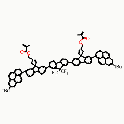 C=CC1(CCCOC(=O)C(=C)C)c2cc(-c3ccc4c(c3)C(C(F)(F)F)(C(F)(F)F)c3cc(-c5ccc6c(c5)C(C=C)(CCCOC(=O)C(=C)C)c5cc(-c7ccc8ccc9cc(C(C)(C)C)cc%10ccc7c8c9%10)ccc5-6)ccc3-4)ccc2-c2ccc(-c3ccc4ccc5c6c4c3C=CC6C=C(C(C)(C)C)C5)cc21